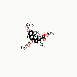 COCO[C@@H]1CC[C@]2(C)C3CC[C@]4(C)C([C@H](C)CC(=O)C(=O)OC)=CC[C@H]4C3[C@H](OCOC)C[C@@H]2C1